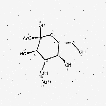 CC(=O)O[C@@]1(O)O[C@H](CO)[C@@H](O)[C@H](O)[C@H]1O.[NaH]